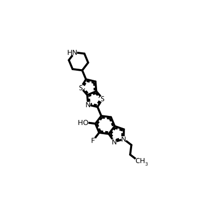 CCCn1cc2cc(-c3nc4sc(C5CCNCC5)cc4s3)c(O)c(F)c2n1